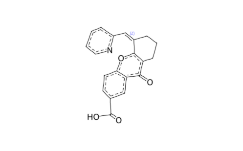 O=C(O)c1ccc2oc3c(c(=O)c2c1)CCC/C3=C/c1ccccn1